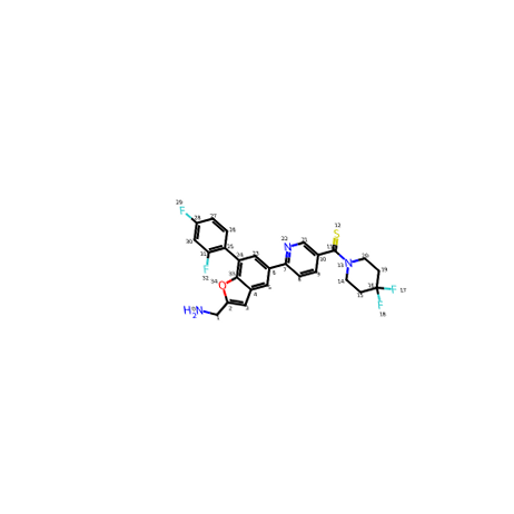 NCc1cc2cc(-c3ccc(C(=S)N4CCC(F)(F)CC4)cn3)cc(-c3ccc(F)cc3F)c2o1